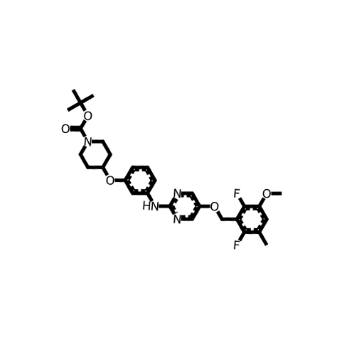 COc1cc(C)c(F)c(COc2cnc(Nc3cccc(OC4CCN(C(=O)OC(C)(C)C)CC4)c3)nc2)c1F